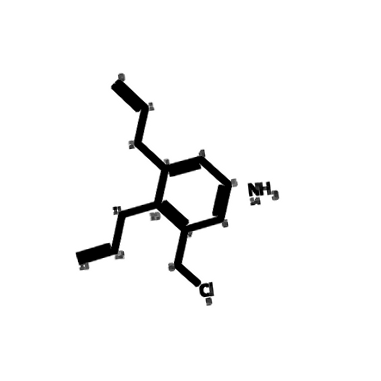 C=CCc1cccc(CCl)c1CC=C.N